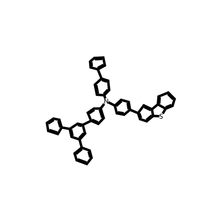 c1ccc(-c2ccc(N(c3ccc(-c4cc(-c5ccccc5)cc(-c5ccccc5)c4)cc3)c3ccc(-c4ccc5sc6ccccc6c5c4)cc3)cc2)cc1